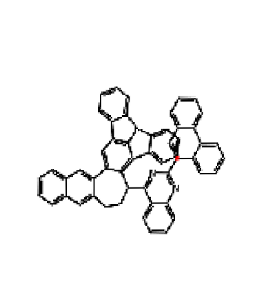 c1ccc2cc3c(cc2c1)CCC(c1nc(-c2cc4ccccc4c4ccccc24)nc2ccccc12)c1c-3cc2c3ccccc3n3c4ccccc4c1c23